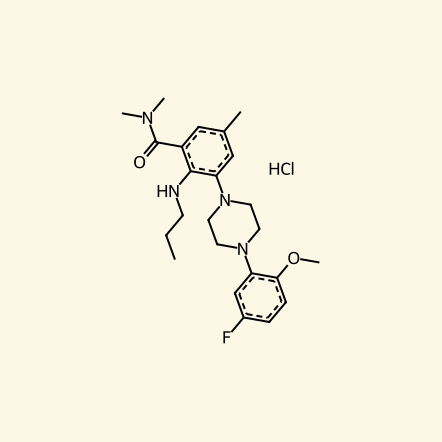 CCCNc1c(C(=O)N(C)C)cc(C)cc1N1CCN(c2cc(F)ccc2OC)CC1.Cl